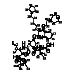 C=C[C@H](C)C(NC(=O)[C@@H]1CC(Oc2nc3ccccc3c(OCCN3CCOCC3)c2CCCCCC2CCCC2)CN1C(=O)[C@@H](NC(=O)O)C(C)(C)C)C(=O)NS(=O)(=O)C1(C(=C)C)CC1